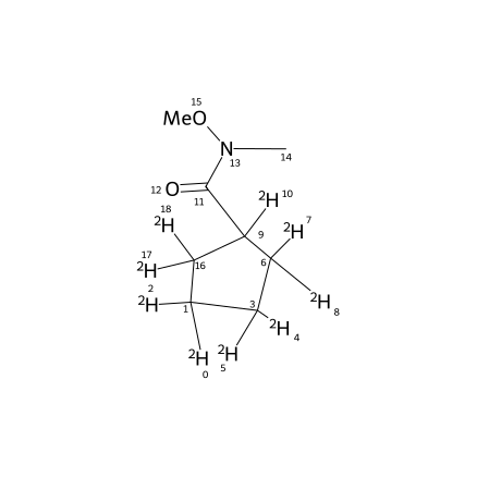 [2H]C1([2H])C([2H])([2H])C([2H])([2H])C([2H])(C(=O)N(C)OC)C1([2H])[2H]